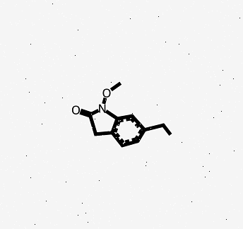 CCc1ccc2c(c1)N(OC)C(=O)C2